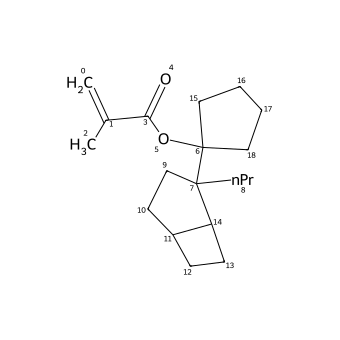 C=C(C)C(=O)OC1(C2(CCC)CCC3CCC32)CCCC1